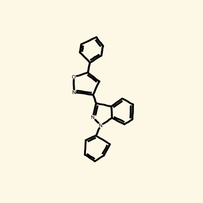 c1ccc(-c2cc(-c3nn(-c4ccccc4)c4ccccc34)no2)cc1